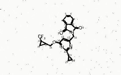 O=C1c2ccccc2C(=O)N1Cc1cc(OCC2CC2C(F)(F)F)nc(C2CC2)n1